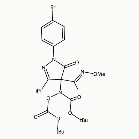 CON=C(C)C1(N(OC(=O)OC(C)(C)C)C(=O)OC(C)(C)C)C(=O)N(c2ccc(Br)cc2)N=C1C(C)C